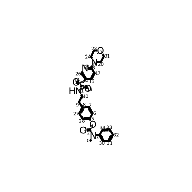 CN(C(=O)Oc1ccc(CCNS(=O)(=O)c2ccc(N3CCOCC3)nc2)cc1)c1ccccc1